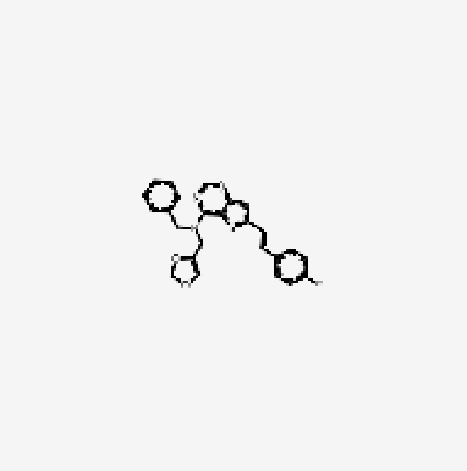 Fc1ccc(C=Cc2cc3ncnc(N(CC4=COCO4)Cc4ccccc4)c3s2)cc1